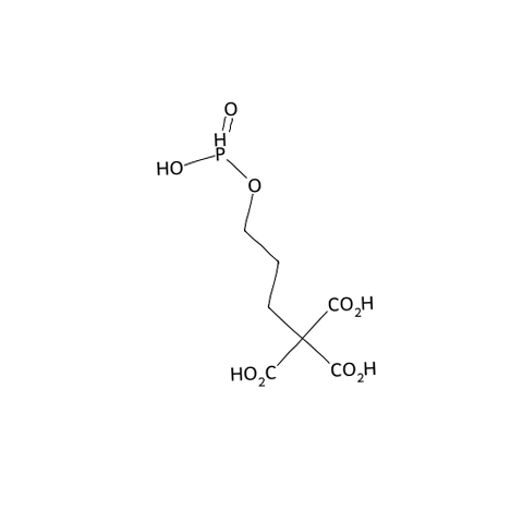 O=C(O)C(CCCO[PH](=O)O)(C(=O)O)C(=O)O